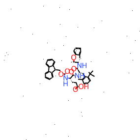 Cc1cccc(C(C)(C)C)c1C[C@H](NC(=O)[C@H](CCC(=O)O)NC(=O)OCC1c2ccccc2-c2ccccc21)C(=O)N[C@H]([C]=O)Cc1ccccc1